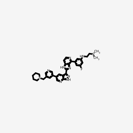 CN(C)CCNc1cc(F)cc(-c2nccc3[nH]c(-c4n[nH]c5ncc(-c6cncc(CN7CCCCC7)c6)cc45)nc23)c1